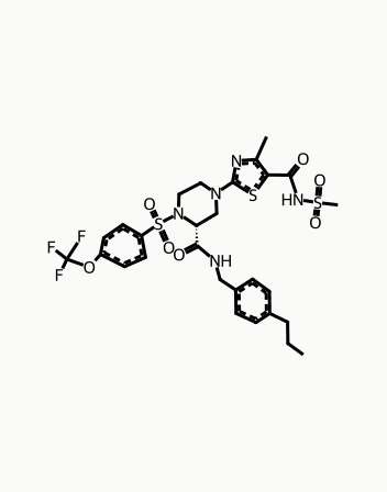 CCCc1ccc(CNC(=O)[C@H]2CN(c3nc(C)c(C(=O)NS(C)(=O)=O)s3)CCN2S(=O)(=O)c2ccc(OC(F)(F)F)cc2)cc1